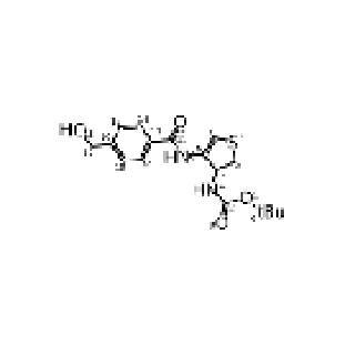 CC(C)(C)OC(=O)NC1CSC=C1NC(=O)c1ccc(CO)cc1